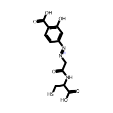 O=C(C/N=N/c1ccc(C(=O)O)c(O)c1)NC(CS)C(=O)O